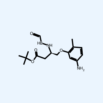 Cc1ccc(N)cc1OC[C@@H](CC(=O)OC(C)(C)C)NBC=O